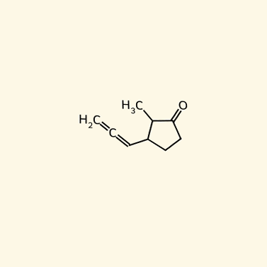 C=C=CC1CCC(=O)C1C